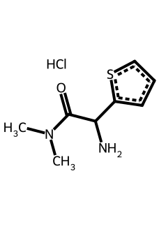 CN(C)C(=O)C(N)c1cccs1.Cl